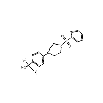 O=S(=O)(c1ccccc1)N1CCN(c2ccc(C(O)(C(F)(F)F)C(F)(F)F)cc2)CC1